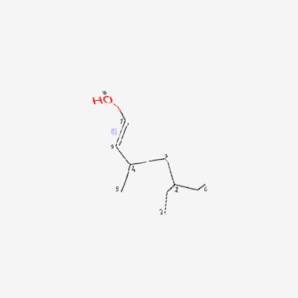 CC(C)CC(C)/C=C/O